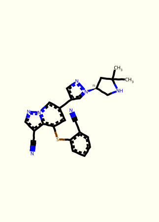 CC1(C)C[C@H](n2cc(-c3cc(Sc4ccccc4C#N)c4c(C#N)cnn4c3)cn2)CN1